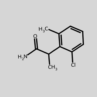 Cc1cccc(Cl)c1C(C)C(N)=O